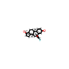 C[C@]12CC[C@H]3[C@@H](CCC4=CC(=O)C=C[C@@]43CC#CF)[C@@H]1CCC2=O